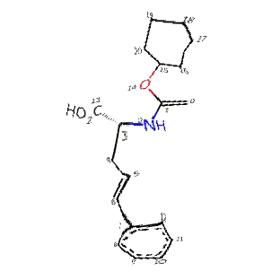 C=C(N[C@H](C/C=C/c1ccccc1)C(=O)O)OC1CCCCC1